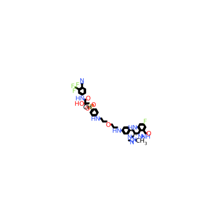 Cn1ncnc1[C@H]1c2n[nH]c(=O)c3cc(F)cc(c23)N[C@@H]1c1ccc(NCCCOCCCNc2ccc(S(=O)(=O)C[C@](C)(O)C(=O)Nc3ccc(C#N)c(C(F)(F)F)c3)cc2)cc1